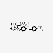 CC(CC(=O)O)C(C)Oc1ccc(OCc2ccc(C(F)(F)F)cc2)cc1